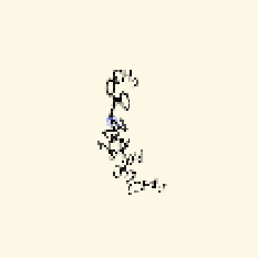 CCOC(=O)Nc1nc(O/N=C/C(=O)OC)ns1